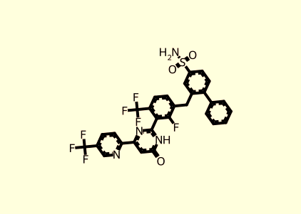 NS(=O)(=O)c1ccc(-c2ccccc2)c(Cc2ccc(C(F)(F)F)c(-c3nc(-c4ccc(C(F)(F)F)cn4)cc(=O)[nH]3)c2F)c1